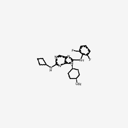 O[C@H]1CC[C@@H](n2c(Nc3c(F)cccc3F)nc3cnc(NC4CCC4)nc32)CC1